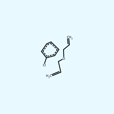 C=CCOCC=C.Clc1ccccc1